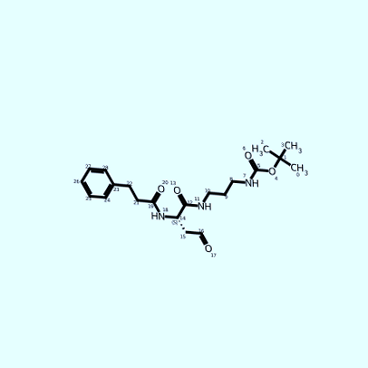 CC(C)(C)OC(=O)NCCCNC(=O)[C@H](CC=O)NC(=O)CCc1ccccc1